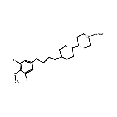 CCCCC[Si@H]1CC[C@H]([C@H]2CC[C@H](CCCCc3cc(F)c(OC(F)(F)F)c(F)c3)CC2)CC1